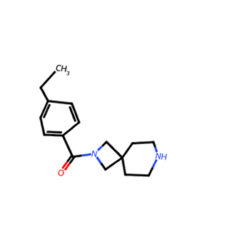 CCc1ccc(C(=O)N2CC3(CCNCC3)C2)cc1